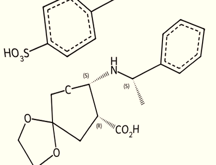 C[C@H](N[C@H]1CCC2(C[C@H]1C(=O)O)OCCO2)c1ccccc1.Cc1ccc(S(=O)(=O)O)cc1